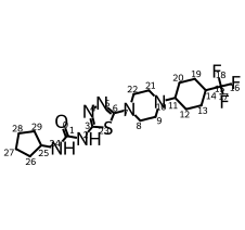 O=C(Nc1nnc(N2CCN(C3CCC(C(F)(F)F)CC3)CC2)s1)NC1CCCC1